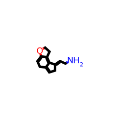 NCC=C1CC=C2CC=C3OCCC3=C12